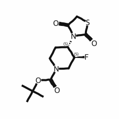 CC(C)(C)OC(=O)N1CC[C@H](N2C(=O)CSC2=O)[C@@H](F)C1